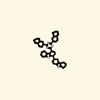 C1=CC(C2CC=C(c3nc(-c4ccc5ccccc5c4)nc(-c4ccc5ccccc5c4)n3)c3c2oc2ccccc32)Cc2c1oc1ccccc21